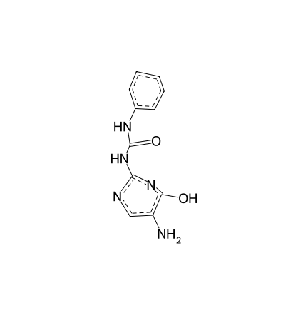 Nc1cnc(NC(=O)Nc2ccccc2)nc1O